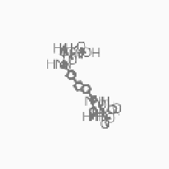 COC(=O)NC(C(=O)N1[C@@H]2C[C@@H]2C[C@H]1c1nc(-c2ccc3cc(-c4ccc(-c5c[nH]c([C@@H]6C[C@H]7C[C@H]7N6C(=O)[C@H](C(C)C)N(C)C(=O)O)n5)cc4)ccc3c2)c[nH]1)[C@H]1C[C@@H](C)O[C@@H](C)C1